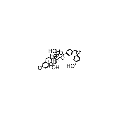 CN(Cc1ccc([C@@H]2O[C@@H]3C[C@H]4[C@@H]5CCC6=CC(=O)C=C[C@]6(C)[C@H]5[C@@H](O)C[C@]4(C)[C@]3(C(=O)CO)O2)cc1)c1ccc(CO)cc1